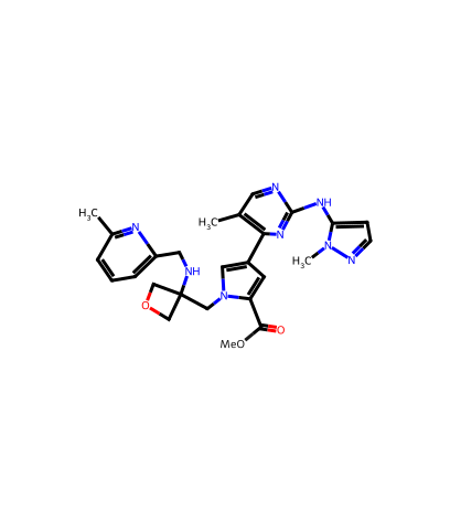 COC(=O)c1cc(-c2nc(Nc3ccnn3C)ncc2C)cn1CC1(NCc2cccc(C)n2)COC1